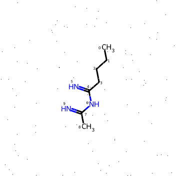 CCCCC(=N)NC(C)=N